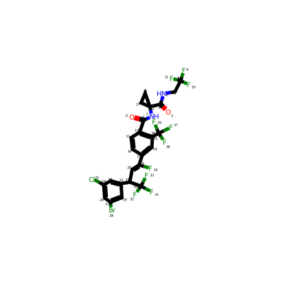 O=C(NC1(C(=O)NCC(F)(F)F)CC1)c1ccc(C(F)=CC(c2cc(Cl)cc(Br)c2)C(F)(F)F)cc1C(F)(F)F